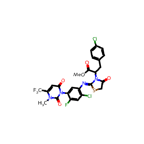 COC(=O)C(Cc1ccc(Cl)cc1)N1C(=O)CSC1=Nc1cc(-n2c(=O)cc(C(F)(F)F)n(C)c2=O)c(F)cc1Cl